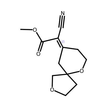 COC(=O)/C(C#N)=C1/CCOC2(CCOC2)C1